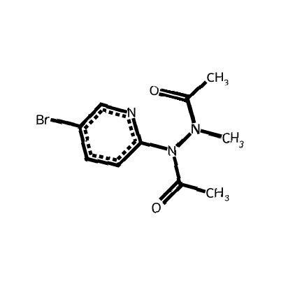 CC(=O)N(C)N(C(C)=O)c1ccc(Br)cn1